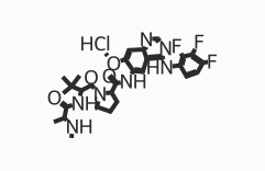 CNC(C)C(=O)NC(C(=O)N1CCCC1C(=O)Nc1cc2c(Nc3ccc(F)c(F)c3F)ncnc2cc1OC)C(C)(C)C.Cl